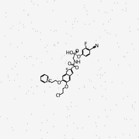 N#Cc1ccc(OP(=O)(O)CNS(=O)(=O)c2cc3cc(OCCCl)c(OCC[n+]4ccccc4)cc3s2)cc1F